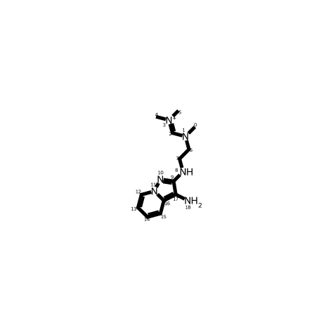 CN(C=[N+](C)C)CCNc1nn2ccccc2c1N